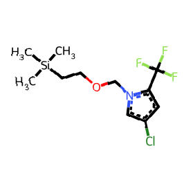 C[Si](C)(C)CCOCn1cc(Cl)cc1C(F)(F)F